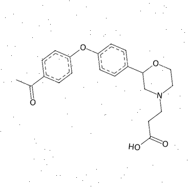 CC(=O)c1ccc(Oc2ccc(C3CN(CCC(=O)O)CCO3)cc2)cc1